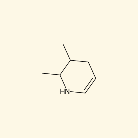 CC1CC=CNC1C